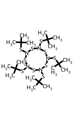 CC(C)(C)SN1SN(SC(C)(C)C)SN(SC(C)(C)C)SN(SC(C)(C)C)SN(SC(C)(C)C)S1